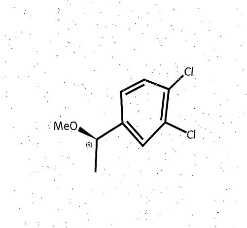 CO[C@H](C)c1ccc(Cl)c(Cl)c1